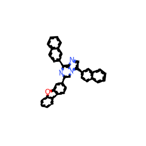 c1ccc2cc(-c3nc(-c4ccc5c(c4)oc4ccccc45)cn4c(-c5ccc6ccccc6c5)cnc34)ccc2c1